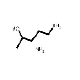 CC(O)CCCN.N